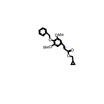 COc1cc(/C=C/C(=O)OCC2CC2)cc(OC)c1OCc1ccccc1